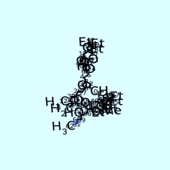 C=C1CC(CC[C@@]23C[C@@]4(I)OC5C(O2)C(O[Si](CC)(CC)CC)COC5C4O3)OC1CCC1CC(C)C(=C)C(C[C@@H]2O[C@H](CC(CO[Si](CC)(CC)CC)O[Si](CC)(CC)CC)[C@H](OC)C2CC(O)C/C=C/C)O1